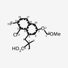 COCOc1cc(CC(C)(C)C(=O)O)c2c(Cl)c(F)ccc2c1